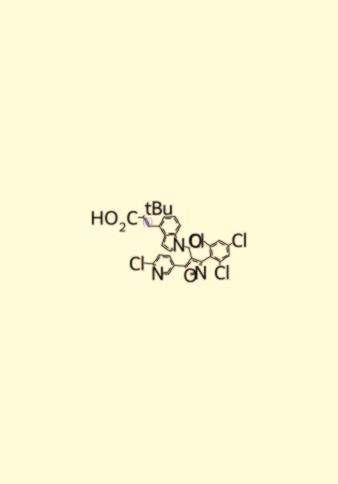 CC(C)(C)/C(=C\c1cccc2c1ccn2C(=O)c1c(-c2c(Cl)cc(Cl)cc2Cl)noc1-c1ccc(Cl)nc1)C(=O)O